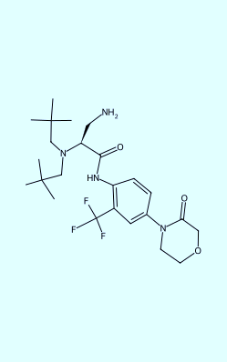 CC(C)(C)CN(CC(C)(C)C)[C@@H](CN)C(=O)Nc1ccc(N2CCOCC2=O)cc1C(F)(F)F